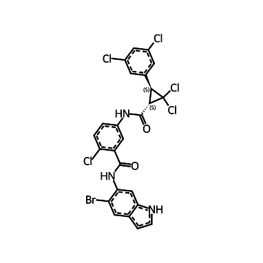 O=C(Nc1cc2[nH]ccc2cc1Br)c1cc(NC(=O)[C@@H]2[C@@H](c3cc(Cl)cc(Cl)c3)C2(Cl)Cl)ccc1Cl